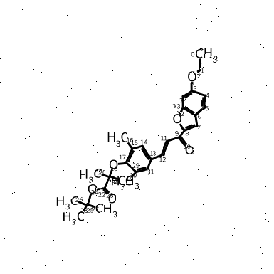 CCOc1ccc2cc(C(=O)/C=C/c3cc(C)c(OC(C)(C)C(=O)OC(C)(C)C)c(C)c3)oc2c1